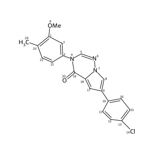 COc1cc(-n2cnn3cc(-c4ccc(Cl)cc4)cc3c2=O)ccc1C